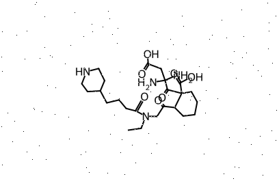 CCN(CC(=O)C1CCCCC1(C(=O)O)C(=O)C(N)(N)CC(=O)O)C(=O)CCCC1CCNCC1